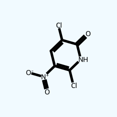 O=c1[nH]c(Cl)c([N+](=O)[O-])cc1Cl